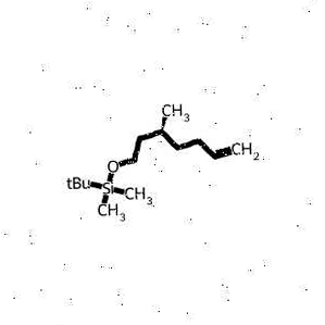 C=CCC[C@H](C)CCO[Si](C)(C)C(C)(C)C